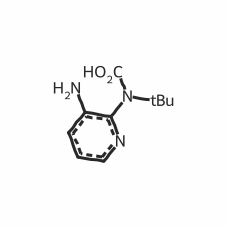 CC(C)(C)N(C(=O)O)c1ncccc1N